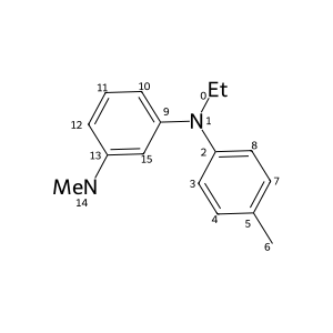 CCN(c1ccc(C)cc1)c1cccc(NC)c1